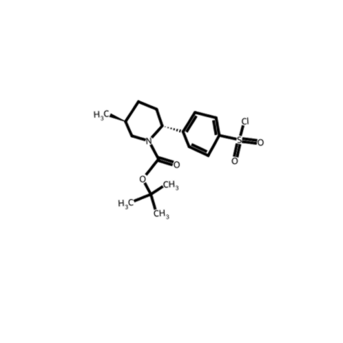 C[C@H]1CC[C@H](c2ccc(S(=O)(=O)Cl)cc2)N(C(=O)OC(C)(C)C)C1